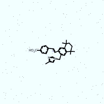 Cc1cn(Cc2cc3c(cc2/C=C/c2ccc(C(=O)O)cc2)C(C)(C)CCC3(C)C)cn1